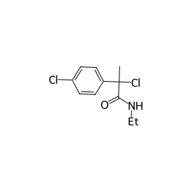 CCNC(=O)C(C)(Cl)c1ccc(Cl)cc1